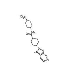 Cn1c2ccncc2nc1[C@H]1CC[C@H](C(=O)N[C@H]2CC[C@H](C(=O)O)CC2)CC1